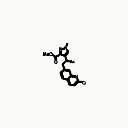 COC(=O)c1nn(C)cc1N(Cc1ccc2ccc(Cl)nc2c1)C(C)=O